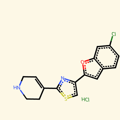 Cl.Clc1ccc2cc(-c3csc(C4=CCNCC4)n3)oc2c1